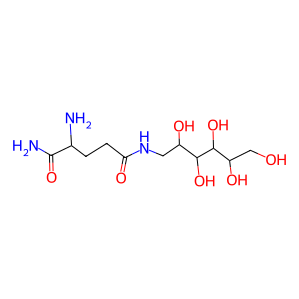 NC(=O)C(N)CCC(=O)NCC(O)C(O)C(O)C(O)CO